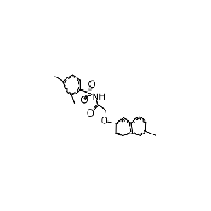 Cc1ccc(S(=O)(=O)NC(=O)COc2ccc3cc(C)ccc3c2)c(C)c1